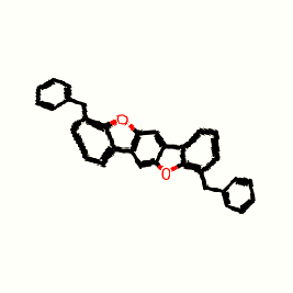 c1ccc(Cc2cccc3c2oc2cc4c(cc23)oc2c(Cc3ccccc3)cccc24)cc1